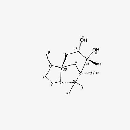 CC1CCC2C(C)(C)[C@H]3C[C@@]12C[C@H](O)[C@]3(C)O